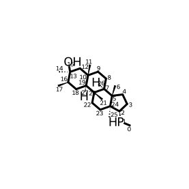 CP[C@H]1CC[C@@]2(C)[C@@H]3CC[C@@]4(C)C[C@](C)(O)[C@H](C)C[C@@H]4[C@@]3(C)CC[C@]12C